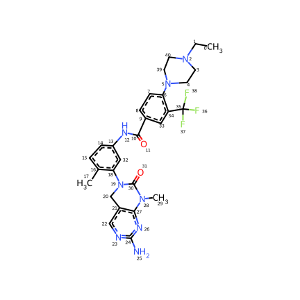 CCN1CCN(c2ccc(C(=O)Nc3ccc(C)c(N4Cc5cnc(N)nc5N(C)C4=O)c3)cc2C(F)(F)F)CC1